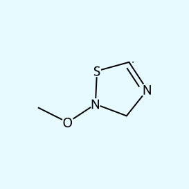 CON1CN=[C]S1